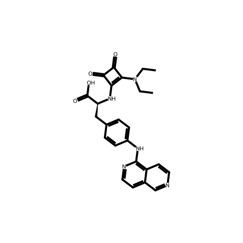 CCN(CC)c1c(N[C@@H](Cc2ccc(Nc3nccc4cnccc34)cc2)C(=O)O)c(=O)c1=O